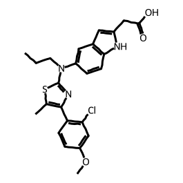 CCCN(c1ccc2[nH]c(CC(=O)O)cc2c1)c1nc(-c2ccc(OC)cc2Cl)c(C)s1